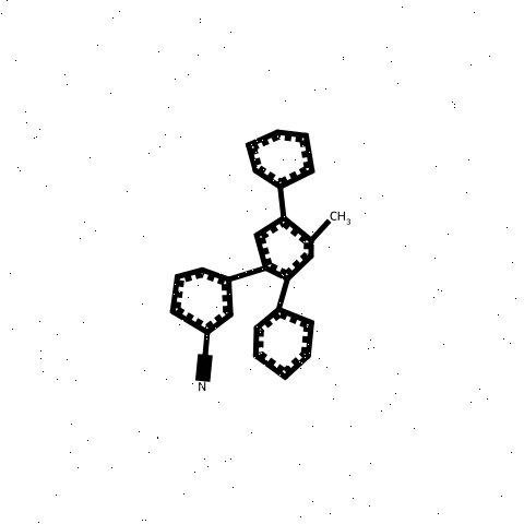 Cc1cc(-c2ccccc2)c(-c2cccc(C#N)c2)cc1-c1ccccc1